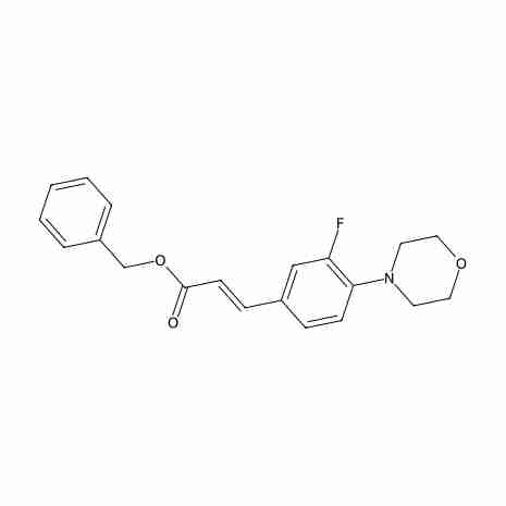 O=C(/C=C/c1ccc(N2CCOCC2)c(F)c1)OCc1ccccc1